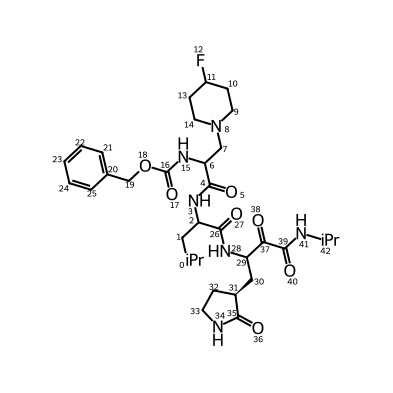 CC(C)CC(NC(=O)C(CN1CCC(F)CC1)NC(=O)OCc1ccccc1)C(=O)NC(C[C@@H]1CCNC1=O)C(=O)C(=O)NC(C)C